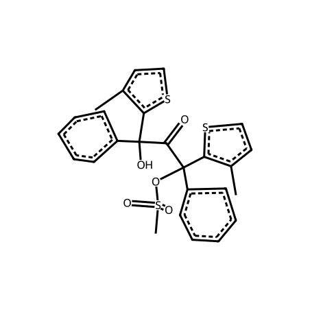 Cc1ccsc1C(O)(C(=O)C(OS(C)(=O)=O)(c1ccccc1)c1sccc1C)c1ccccc1